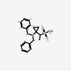 CC(C1(N(Cc2ccccc2)Cc2ccccc2)CC1)S(=O)(=O)O